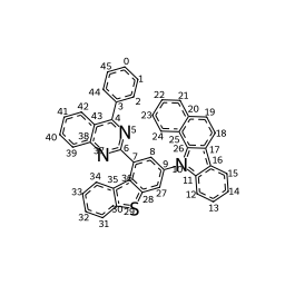 c1ccc(-c2nc(-c3cc(-n4c5ccccc5c5ccc6ccccc6c54)cc4sc5ccccc5c34)nc3ccccc23)cc1